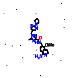 COc1c(CNC(=O)c2nc(C)n(Cc3cnc(N4CCCC4)nc3)n2)ccc2c(N)nccc12